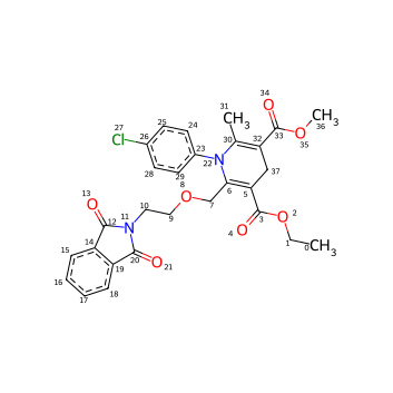 CCOC(=O)C1=C(COCCN2C(=O)c3ccccc3C2=O)N(c2ccc(Cl)cc2)C(C)=C(C(=O)OC)C1